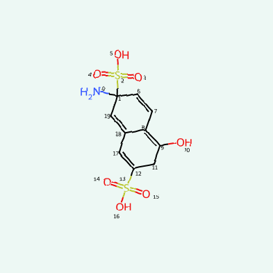 NC1(S(=O)(=O)O)C=CC2=C(O)CC(S(=O)(=O)O)=CC2=C1